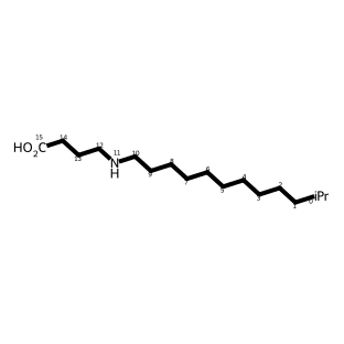 CC(C)CCCCCCCCCCNCCCC(=O)O